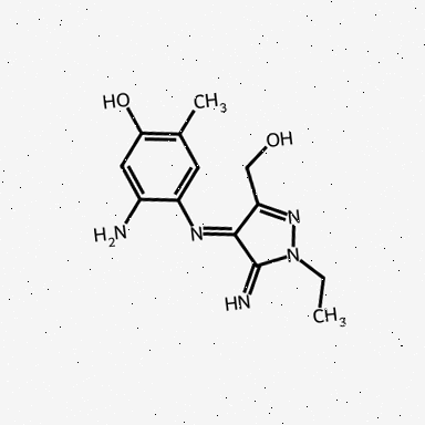 CCN1N=C(CO)C(=Nc2cc(C)c(O)cc2N)C1=N